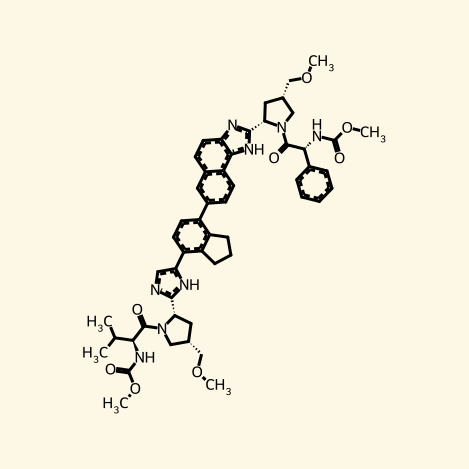 COC[C@H]1C[C@@H](c2ncc(-c3ccc(-c4ccc5c(ccc6nc([C@@H]7C[C@H](COC)CN7C(=O)[C@H](NC(=O)OC)c7ccccc7)[nH]c65)c4)c4c3CCC4)[nH]2)N(C(=O)[C@@H](NC(=O)OC)C(C)C)C1